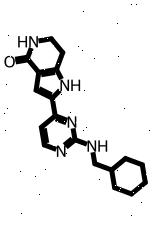 O=C1NCCc2[nH]c(-c3ccnc(NCC4CCCCC4)n3)cc21